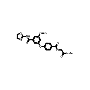 CNC(=O)CNC(=O)c1ccc(Oc2cc(OC(C)C)cc(C(=O)NC3=NCCS3)c2)cc1